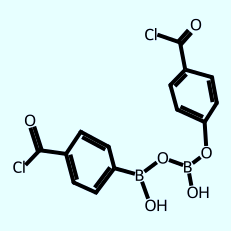 O=C(Cl)c1ccc(OB(O)OB(O)c2ccc(C(=O)Cl)cc2)cc1